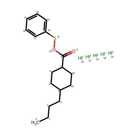 CCCCC1CCC(C(=O)OSc2ccccc2)CC1.F.F.F.F.F